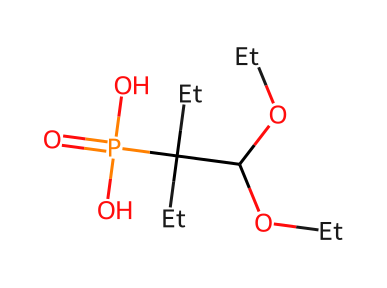 CCOC(OCC)C(CC)(CC)P(=O)(O)O